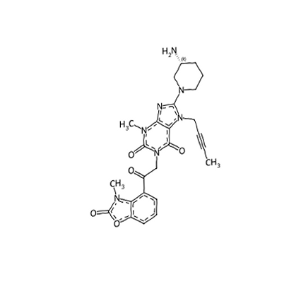 CC#CCn1c(N2CCC[C@@H](N)C2)nc2c1c(=O)n(CC(=O)c1cccc3oc(=O)n(C)c13)c(=O)n2C